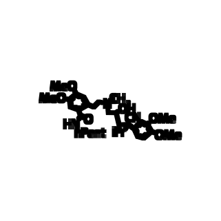 CCCCCNC(=O)c1cc(OC)c(OC)cc1CCN(C)CC(O)CC(C#N)(c1ccc(OC)c(OC)c1)C(C)C